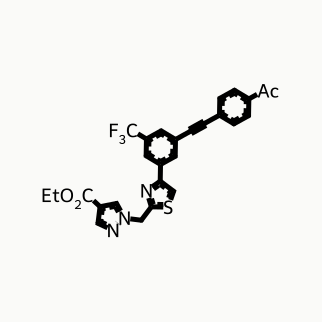 CCOC(=O)c1cnn(Cc2nc(-c3cc(C#Cc4ccc(C(C)=O)cc4)cc(C(F)(F)F)c3)cs2)c1